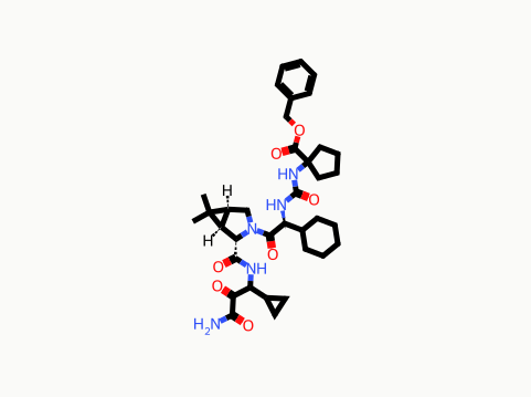 CC1(C)[C@@H]2[C@@H](C(=O)NC(C(=O)C(N)=O)C3CC3)N(C(=O)[C@@H](NC(=O)NC3(C(=O)OCc4ccccc4)CCCC3)C3CCCCC3)C[C@@H]21